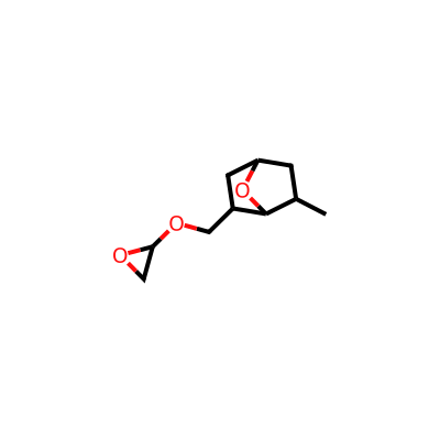 CC1CC2CC(COC3CO3)C1O2